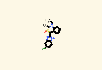 CCN(CC)c1ccccc1C(=S=O)c1nc2cc(Cl)ccc2[nH]1